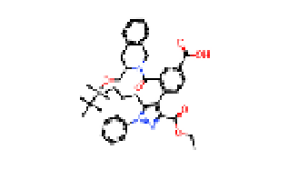 CCCCc1c(-c2ccc(C(=O)O)cc2C(=O)N2Cc3ccccc3CC2CO[Si](C)(C)C(C)(C)C)c(C(=O)OCC)nn1-c1ccccc1